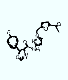 CC(=O)c1ccc(Cn2ccc(NC(=O)c3ncoc3-c3ccc(F)cc3)n2)o1